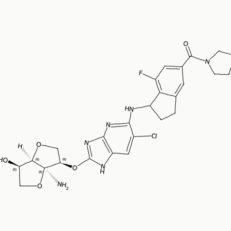 N[C@]12OC[C@@H](O)[C@H]1OC[C@H]2Oc1nc2nc(NC3CCc4cc(C(=O)N5CCCC5)cc(F)c43)c(Cl)cc2[nH]1